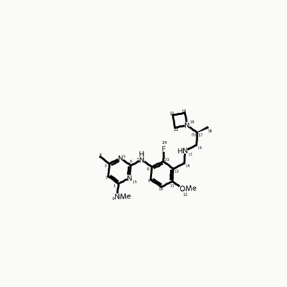 CNc1cc(C)nc(Nc2ccc(OC)c(CNC[C@H](C)N3CCC3)c2F)n1